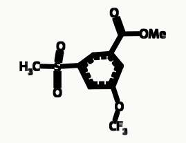 COC(=O)c1cc(OC(F)(F)F)cc(S(C)(=O)=O)c1